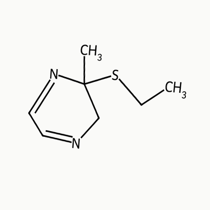 CCSC1(C)CN=CC=N1